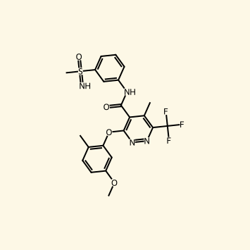 COc1ccc(C)c(Oc2nnc(C(F)(F)F)c(C)c2C(=O)Nc2cccc(S(C)(=N)=O)c2)c1